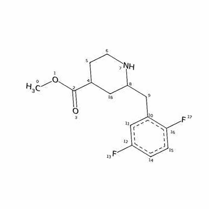 COC(=O)C1CCNC(Cc2cc(F)ccc2F)C1